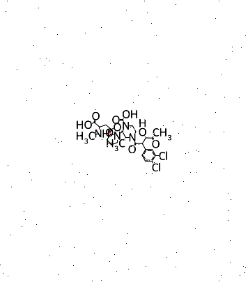 CNC(CC(=O)O[C@@]1(N2CCCC2)[C@@H](C)N(C(=O)C(c2ccc(Cl)c(Cl)c2)[C@H](O)C(C)=O)CCN1C(=O)O)C(=O)O